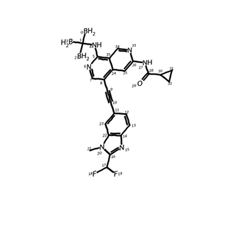 BC(B)(B)Nc1ncc(C#Cc2ccc3nc(C(F)F)n(C)c3c2)c2cc(NC(=O)C3CC3)ncc12